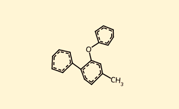 Cc1ccc(-c2ccccc2)c(Oc2ccccc2)c1